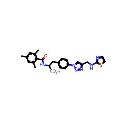 Cc1cc(C)c(C(=O)NC(Cc2ccc(-n3cc(CNc4nccs4)nn3)cc2)C(=O)O)c(C)c1